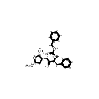 CO[C@H]1C[C@@H](CC(=O)[C@H](Cc2ccccc2)NC(=O)OCc2ccccc2)[C@@H](C)O1